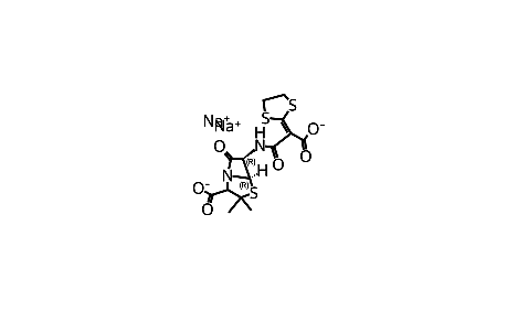 CC1(C)S[C@@H]2[C@H](NC(=O)C(C(=O)[O-])=C3SCCS3)C(=O)N2C1C(=O)[O-].[Na+].[Na+]